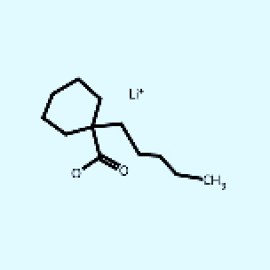 CCCCCC1(C(=O)[O-])CCCCC1.[Li+]